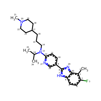 Cc1c(F)ccc2[nH]c(-c3ccc(N(CCCC4CCN(C)CC4)C(C)C)nc3)nc12